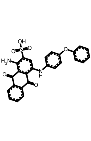 Nc1c(S(=O)(=O)O)cc(Nc2ccc(Oc3ccccc3)cc2)c2c1C(=O)c1ccccc1C2=O